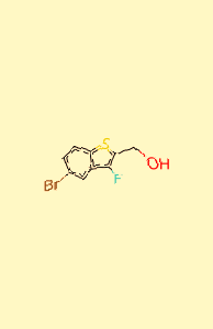 OCc1sc2ccc(Br)cc2c1F